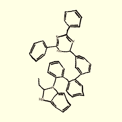 CCC1Nc2ccccc2N1c1ccccc1-c1ccccc1-c1cccc(C2N=C(c3ccccc3)N=C(c3ccccc3)N2)c1